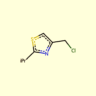 CC(C)c1nc(CCl)cs1